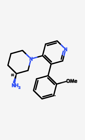 COc1[c]cccc1-c1cnccc1N1CCC[C@H](N)C1